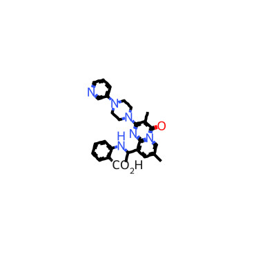 Cc1cc(C(C)Nc2ccccc2C(=O)O)c2nc(N3CCN(c4cccnc4)CC3)c(C)c(=O)n2c1